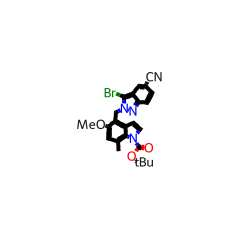 COc1cc(C)c2c(ccn2C(=O)OC(C)(C)C)c1Cn1nc2ccc(C#N)cc2c1Br